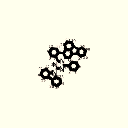 c1ccc(-c2nc(-c3ccccc3-c3ccc4c5c(cccc35)-c3ccccc3-4)nc(-n3c4ccccc4c4ccccc43)n2)cc1